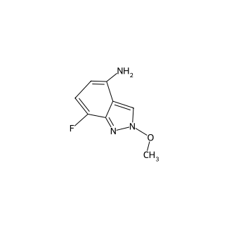 COn1cc2c(N)ccc(F)c2n1